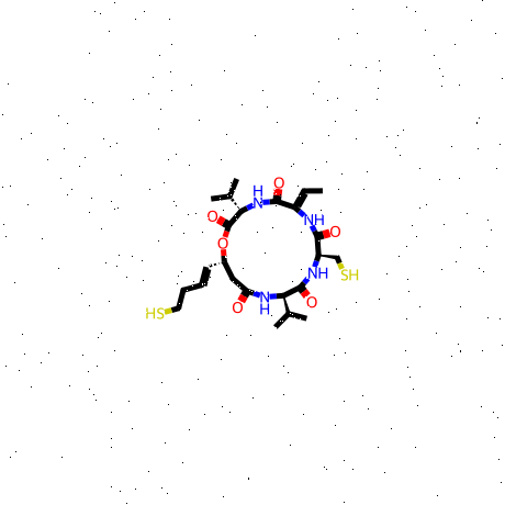 C/C=C1\NC(=O)[C@@H](CS)NC(=O)[C@@H](C(C)C)NC(=O)C[C@H](/C=C/CCS)OC(=O)[C@H](C(C)C)NC1=O